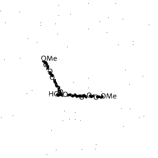 COCCOCCOCCOCCCCCCOCC(CO)OCCCCCCOCCOCCOCCOC